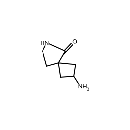 NC1CC2(CCNC2=O)C1